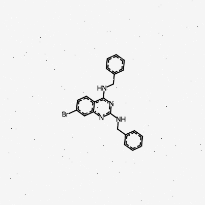 Brc1ccc2c(NCc3ccccc3)nc(NCc3ccccc3)nc2c1